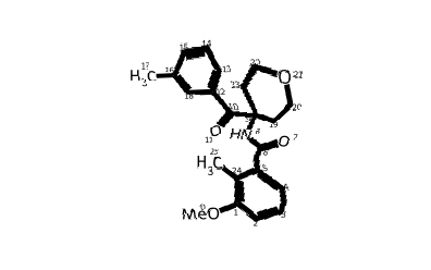 COc1cccc(C(=O)NC2(C(=O)c3cccc(C)c3)CCOCC2)c1C